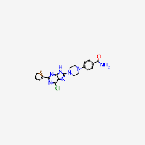 NC(=O)c1ccc(N2CCN(c3nc4c(Cl)nc(-c5cccs5)nc4[nH]3)CC2)cc1